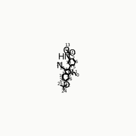 CCn1c(-c2cccc(NC(=O)OC)c2)c(C#N)c2ccc(OC(C)C)cc21